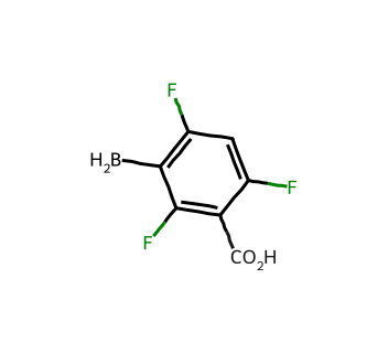 Bc1c(F)cc(F)c(C(=O)O)c1F